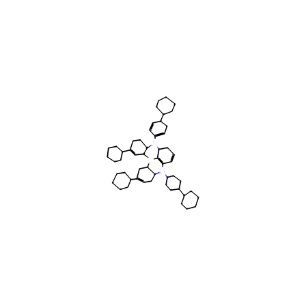 C1=CC2=C3B(C4C=C(C5CCCCC5)CCC4N(C4=CCC(C5CCCCC5)C=C4)C3C1)C1CC(C3CCCCC3)=CCC1N2C1CCC(C2CCCCC2)CC1